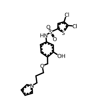 O=S(=O)(Nc1ccc(COCCCn2cccc2)c(O)c1)c1cc(Cl)c(Cl)s1